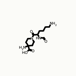 NCCCCC(NC=O)C(=O)N1CCC(N)(C(=O)O)CC1